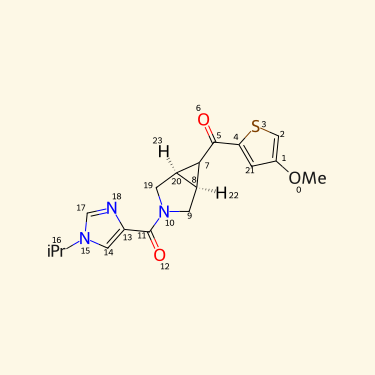 COc1csc(C(=O)C2[C@H]3CN(C(=O)c4cn(C(C)C)cn4)C[C@@H]23)c1